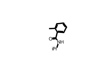 Cc1c[c]ccc1C(=O)NC(C)C